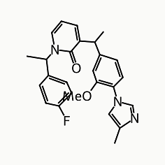 COc1cc(C(C)c2cccn(C(C)c3ccc(F)cc3)c2=O)ccc1-n1cnc(C)c1